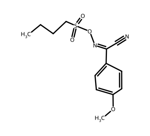 CCCCS(=O)(=O)ON=C(C#N)c1ccc(OC)cc1